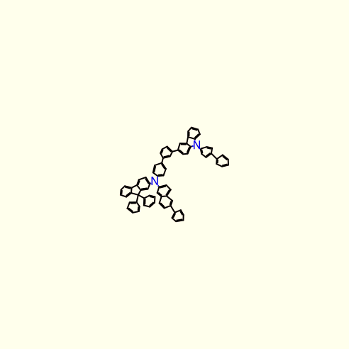 c1ccc(-c2ccc(-n3c4ccccc4c4cc(-c5cccc(-c6ccc(N(c7ccc8c(c7)C(c7ccccc7)(c7ccccc7)c7ccccc7-8)c7ccc8cc(-c9ccccc9)ccc8c7)cc6)c5)ccc43)cc2)cc1